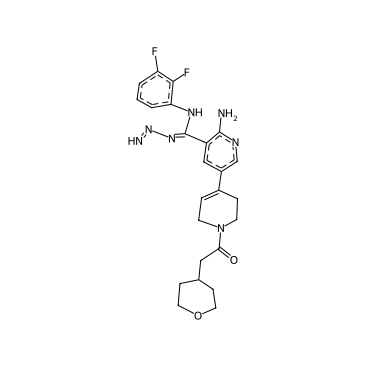 N=N/N=C(\Nc1cccc(F)c1F)c1cc(C2=CCN(C(=O)CC3CCOCC3)CC2)cnc1N